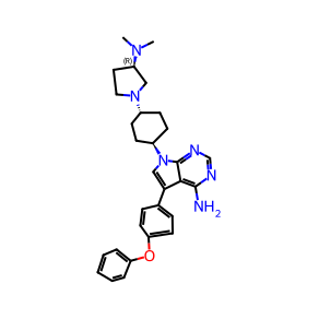 CN(C)[C@@H]1CCN([C@H]2CC[C@H](n3cc(-c4ccc(Oc5ccccc5)cc4)c4c(N)ncnc43)CC2)C1